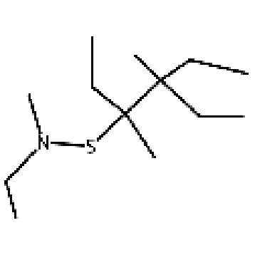 CCN(C)SC(C)(CC)C(C)(CC)CC